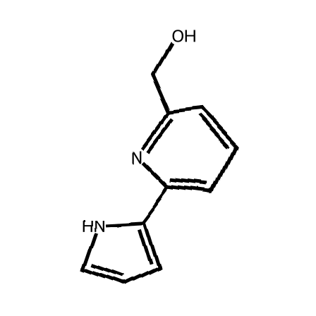 OCc1cccc(-c2ccc[nH]2)n1